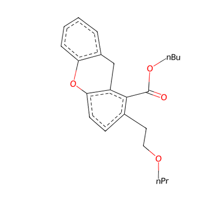 CCCCOC(=O)c1c(CCOCCC)ccc2c1Cc1ccccc1O2